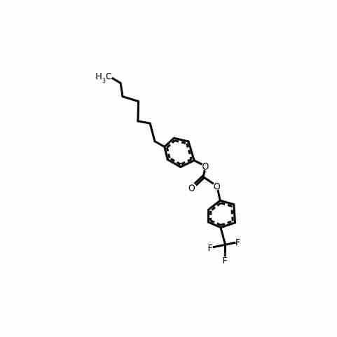 CCCCCCCc1ccc(OC(=O)Oc2ccc(C(F)(F)F)cc2)cc1